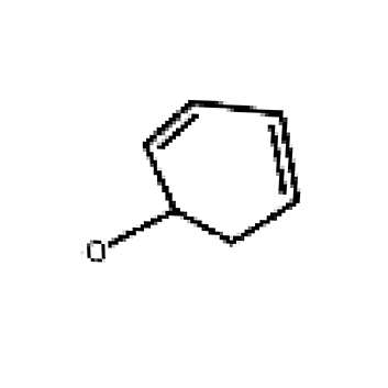 [O]C1C=CC=CC1